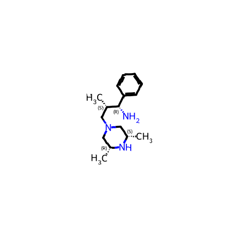 C[C@@H]1CN(C[C@H](C)[C@@H](N)c2ccccc2)C[C@H](C)N1